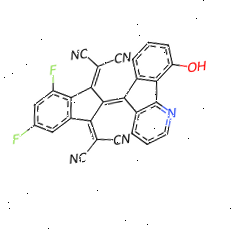 N#CC(C#N)=C1/C(=C2\c3cccnc3-c3c(O)cccc32)C(=C(C#N)C#N)c2c(F)cc(F)cc21